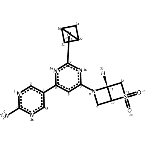 Nc1ncc(-c2cc(N3CC4[C@H]3CS4(=O)=O)nc(N3CC4CC3C4)n2)cn1